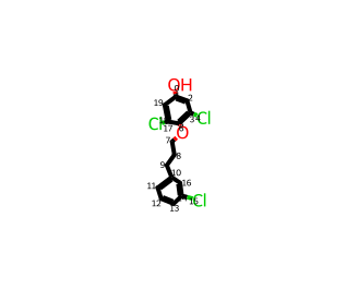 Oc1cc(Cl)c(OCCCc2cccc(Cl)c2)c(Cl)c1